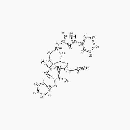 COCCN1C(=O)C(Cc2ccccc2)NC(=O)C12CCN(Cc1c[nH]c(-c3ccccc3)n1)CC2